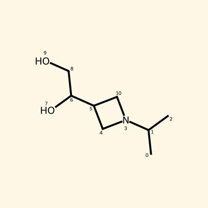 CC(C)N1CC(C(O)CO)C1